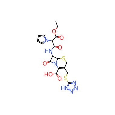 CCOC(=O)C(C(=O)NC1C(=O)N2C(C(=O)O)=C(CSc3nnn[nH]3)CSC12)n1cccc1